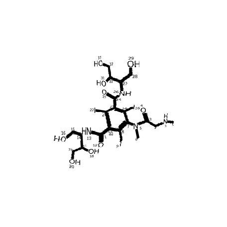 CNCC(=O)N(C)c1c(I)c(C(=O)NC(CO)C(O)CO)c(I)c(C(=O)NC(CO)C(O)CO)c1I